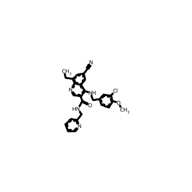 CCc1cc(C#N)cc2c(NCc3ccc(OC)c(Cl)c3)c(C(=O)NCc3ccccn3)cnc12